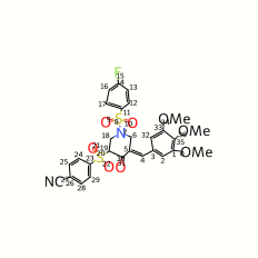 COc1cc(C=C2CN(S(=O)(=O)c3ccc(F)cc3)CC(S(=O)(=O)c3ccc(C#N)cc3)C2=O)cc(OC)c1OC